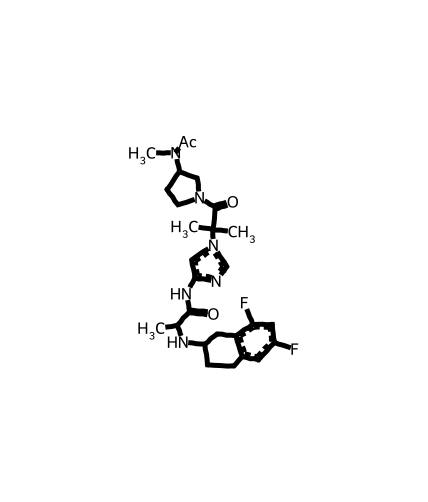 CC(=O)N(C)C1CCN(C(=O)C(C)(C)n2cnc(NC(=O)C(C)NC3CCc4cc(F)cc(F)c4C3)c2)C1